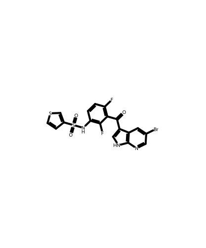 O=C(c1c(F)ccc(NS(=O)(=O)c2ccsc2)c1F)c1c[nH]c2ncc(Br)cc12